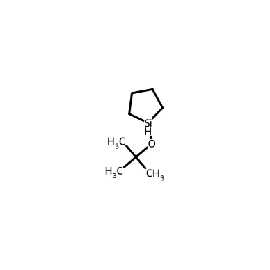 CC(C)(C)O[SiH]1CCCC1